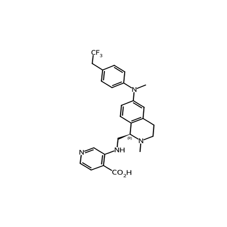 CN(c1ccc(CC(F)(F)F)cc1)c1ccc2c(c1)CCN(C)[C@H]2CNc1cnccc1C(=O)O